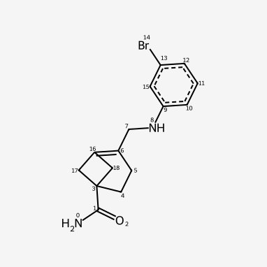 NC(=O)C12CCC(CNc3cccc(Br)c3)=C(C1)C2